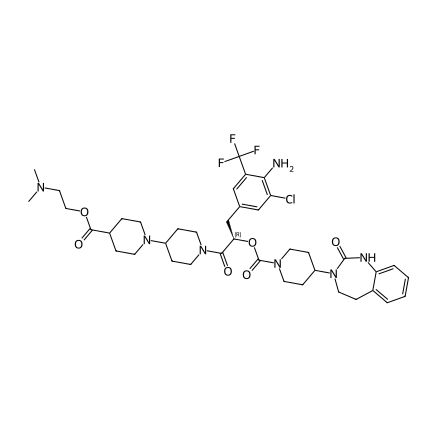 CN(C)CCOC(=O)C1CCN(C2CCN(C(=O)[C@@H](Cc3cc(Cl)c(N)c(C(F)(F)F)c3)OC(=O)N3CCC(N4CCc5ccccc5NC4=O)CC3)CC2)CC1